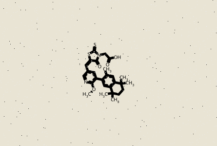 COc1ncc(C=C2SC(=S)N(CC(=O)O)C2=O)cc1-c1cc2c(cc1C)C(C)(C)CCC2(C)C